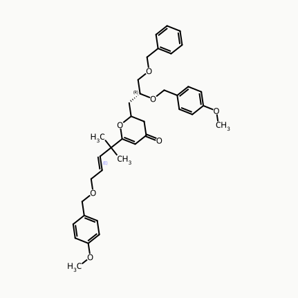 COc1ccc(COC/C=C/C(C)(C)C2=CC(=O)CC(C[C@H](COCc3ccccc3)OCc3ccc(OC)cc3)O2)cc1